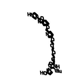 CC(C)(C)[C@H](NC(=O)COCCOCCOCCOc1ccc(COc2ccc3oc(N4CCNCC4)nc3c2)nc1)C(=O)N1CC[C@@H](O)C1